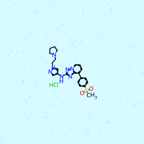 CS(=O)(=O)c1ccc(-c2cccn3nc(Nc4cnn(CCN5CCCC5)c4)nc23)cc1.Cl